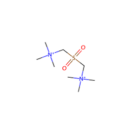 C[N+](C)(C)CS(=O)(=O)C[N+](C)(C)C